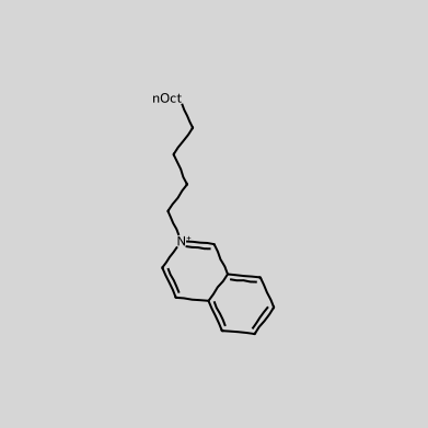 CCCCCCCCCCCC[n+]1ccc2ccccc2c1